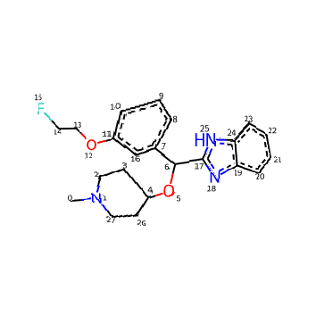 CN1CCC(OC(c2cccc(OCCF)c2)c2nc3ccccc3[nH]2)CC1